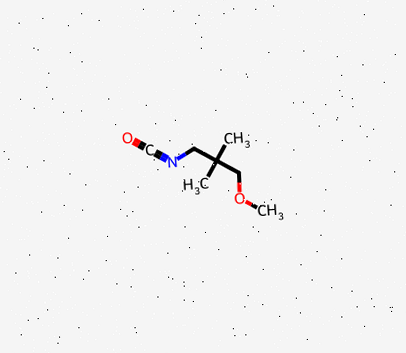 COCC(C)(C)CN=C=O